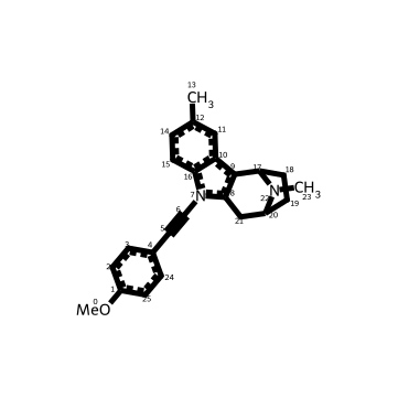 COc1ccc(C#Cn2c3c(c4cc(C)ccc42)C2CCC(C3)N2C)cc1